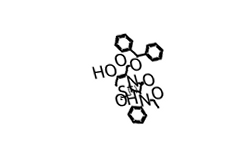 CC(=O)N(c1ccccc1)C1C(=O)N2C(C(=O)OC(c3ccccc3)c3ccccc3)=C(O)C[S+]([O-])[C@@H]12